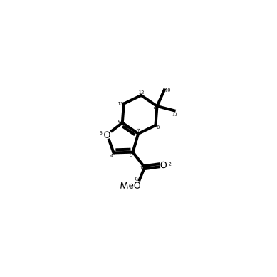 COC(=O)c1coc2c1CC(C)(C)CC2